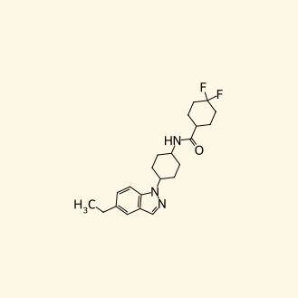 CCc1ccc2c(cnn2C2CCC(NC(=O)C3CCC(F)(F)CC3)CC2)c1